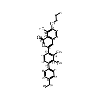 CCCOc1ccc2cc(-c3ccc(-c4ccc(CC)cc4)c(F)c3F)oc(=O)c2c1F